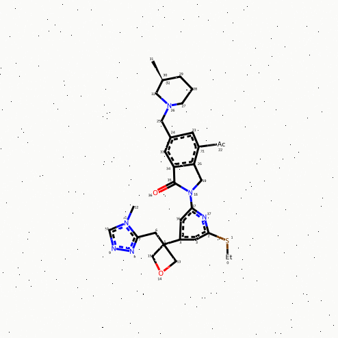 CCSc1cc(C2(Cc3nncn3C)COC2)cc(N2Cc3c(C(C)=O)cc(CN4CCC[C@H](C)C4)cc3C2=O)n1